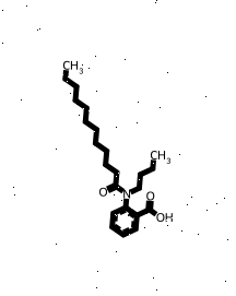 CCCCCCCCCCCC(=O)N(CCCC)c1ccccc1C(=O)O